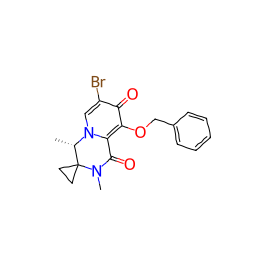 C[C@@H]1n2cc(Br)c(=O)c(OCc3ccccc3)c2C(=O)N(C)C12CC2